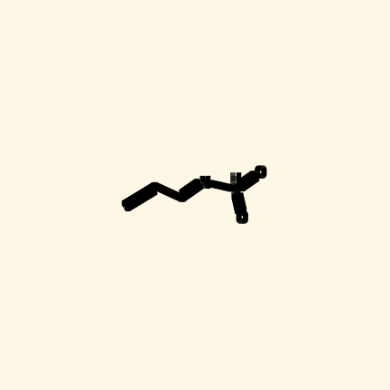 C=CC=N[SH](=O)=O